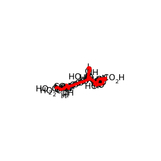 N=N/C(=C\NCCOCCOCCOCCOCCOCCOCCC(=O)N[C@@H](CCCCNC(=S)Nc1cc(O)nc(CN2CCOCCOCCN(Cc3cccc(C(=O)O)n3)CCOCCOCC2)c1)C(=O)N[C@@H](CCCCNC(=O)Cc1ccc(I)cc1)C(=O)O)c1cccc(NC(=O)NCCCC[C@H](NC(=O)N[C@@H](CCC(=O)O)C(=O)O)C(=O)O)c1